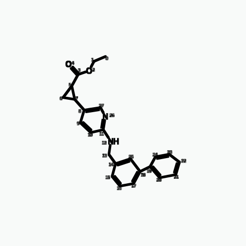 CCOC(=O)C1CC1c1ccc(NCc2cccc(-c3ccccc3)c2)nc1